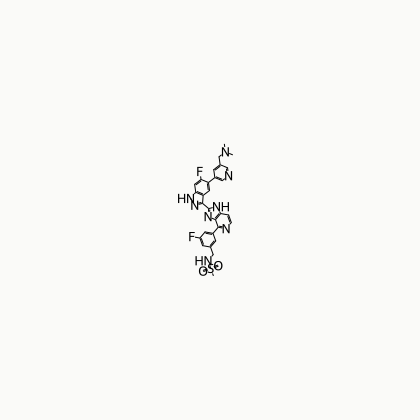 CN(C)Cc1cncc(-c2cc3c(-c4nc5c(-c6cc(F)cc(CNS(C)(=O)=O)c6)nccc5[nH]4)n[nH]c3cc2F)c1